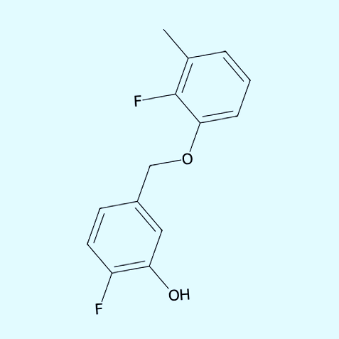 Cc1cccc(OCc2ccc(F)c(O)c2)c1F